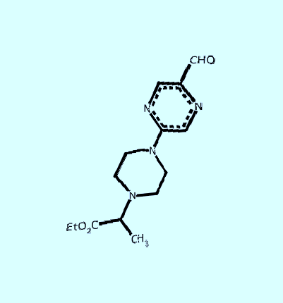 CCOC(=O)C(C)N1CCN(c2cnc(C=O)cn2)CC1